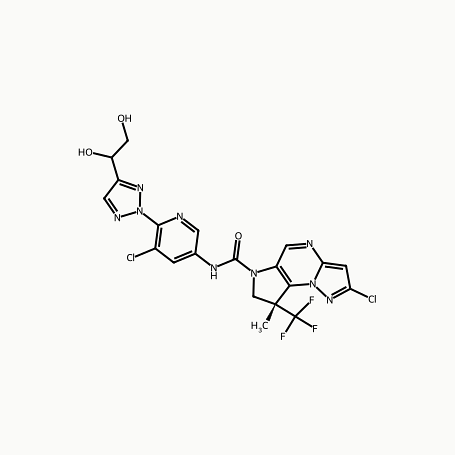 C[C@@]1(C(F)(F)F)CN(C(=O)Nc2cnc(-n3ncc(C(O)CO)n3)c(Cl)c2)c2cnc3cc(Cl)nn3c21